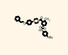 CCCCc1ccc(NS(=O)(=O)c2ccc(C)c(C(=O)N3CCN(c4ccc(OCCc5ccccc5)cc4)CC3)c2)cc1